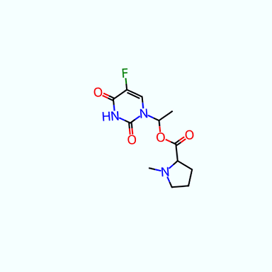 CC(OC(=O)C1CCCN1C)n1cc(F)c(=O)[nH]c1=O